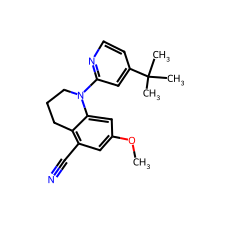 COc1cc(C#N)c2c(c1)N(c1cc(C(C)(C)C)ccn1)CCC2